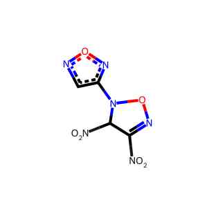 O=[N+]([O-])C1=NON(c2cnon2)C1[N+](=O)[O-]